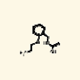 CCCOc1ccccc1CNC(=O)O